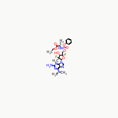 CCOC(=O)[C@H](C)N[P@](=O)(OC[C@@]1(F)O[C@@H](n2cnc3c(N(C)C)nc(N)nc32)[C@](C)(F)[C@@H]1O)Oc1ccccc1